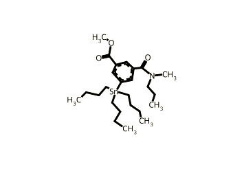 CCC[CH2][Sn]([CH2]CCC)([CH2]CCC)[c]1cc(C(=O)OC)cc(C(=O)N(C)CCC)c1